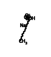 CCCCCCCCCCCCCCCCCC(O)OS(=O)(=O)[O-].[Na+]